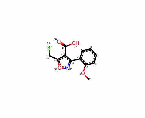 COc1ccccc1-c1noc(CBr)c1C(=O)O